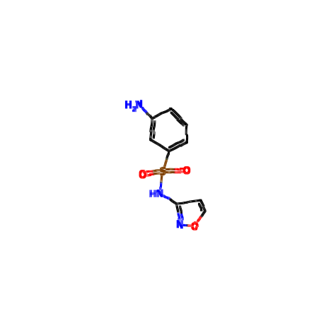 Nc1cccc(S(=O)(=O)Nc2ccon2)c1